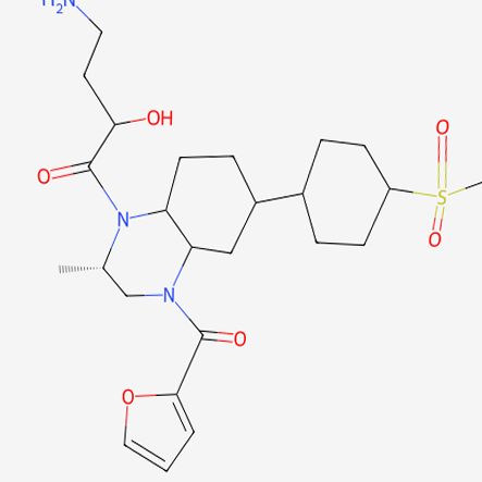 C[C@H]1CN(C(=O)c2ccco2)C2CC(C3CCC(S(C)(=O)=O)CC3)CCC2N1C(=O)C(O)CCN